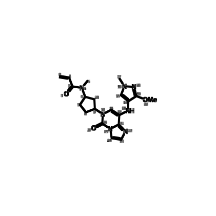 C=CC(=O)N(C)C1CCC(n2cc(Nc3cn(C)nc3OC)c3nccn3c2=O)C1